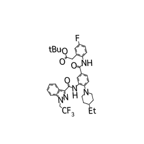 CCC1CCN(c2ccc(C(=O)Nc3ccc(F)cc3CC(=O)OC(C)(C)C)cc2NC(=O)c2nn(CC(F)(F)F)c3ccccc23)CC1